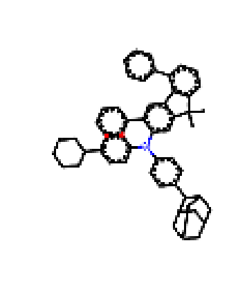 CC1(C)c2cc(N(c3ccc(C4CCCCC4)cc3)c3ccc(C4C5CC6CC(C5)CC4C6)cc3)c(-c3ccccc3)cc2-c2c(-c3ccccc3)cccc21